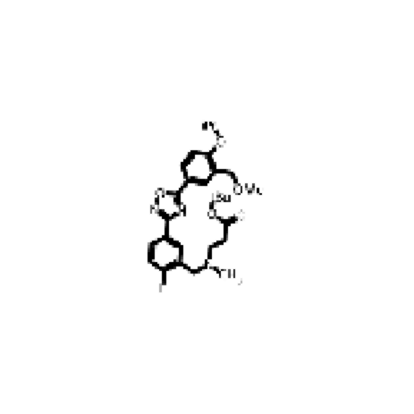 COCc1cc(-c2nc(-c3ccc(F)c(CN(C)CCC(=O)OC(C)(C)C)c3)no2)ccc1OC(C)C